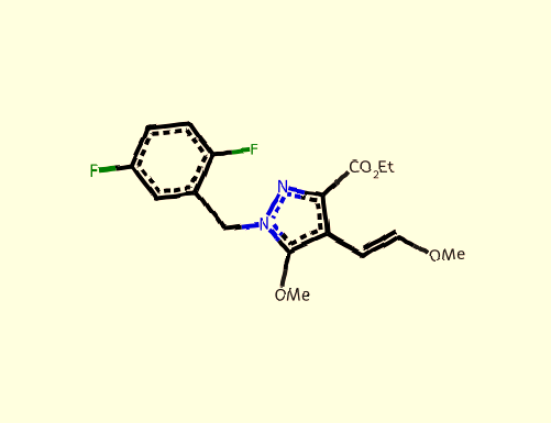 CCOC(=O)c1nn(Cc2cc(F)ccc2F)c(OC)c1/C=C/OC